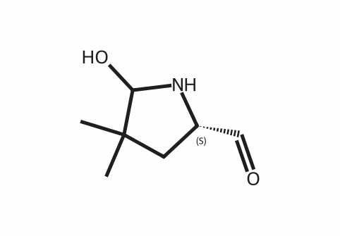 CC1(C)C[C@@H](C=O)NC1O